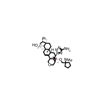 CNC1(CO[C@H]2[C@H](n3nnc(N)n3)C[C@@]34COC[C@@]2(C)[C@@H]3CC[C@H]2C4=CC[C@@]3(C)[C@H](C(=O)O)[C@@](C)([C@H](C)C(C)C)CC[C@]23C)CCCC1